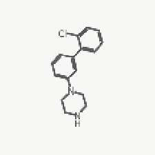 Clc1ccccc1-c1cccc(N2CCNCC2)c1